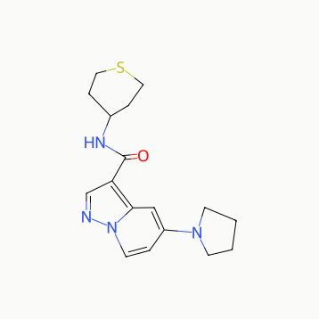 O=C(NC1CCSCC1)c1cnn2ccc(N3CCCC3)cc12